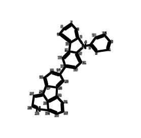 c1ccc(-n2c3ccccc3c3cc(-c4ccc5c(c4)-c4cccc6nccc-5c46)ccc32)cc1